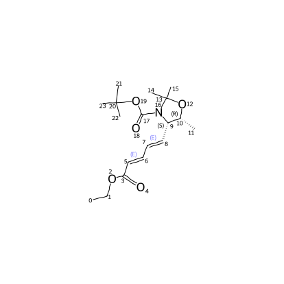 CCOC(=O)/C=C/C=C/[C@H]1[C@@H](C)OC(C)(C)N1C(=O)OC(C)(C)C